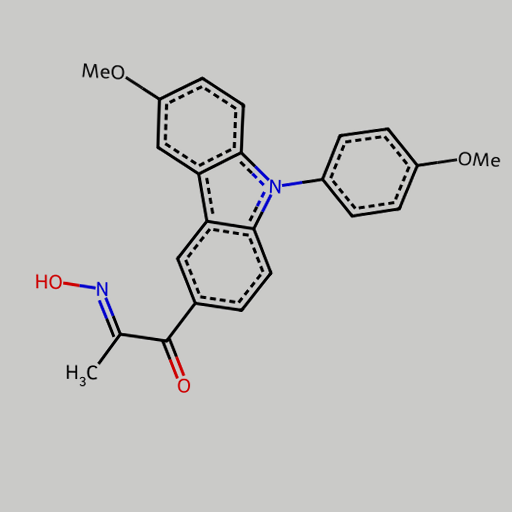 COc1ccc(-n2c3ccc(OC)cc3c3cc(C(=O)C(C)=NO)ccc32)cc1